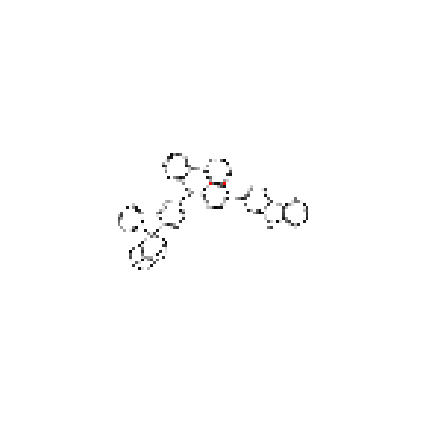 c1ccc(-c2ccccc2N(c2ccc(-c3ccc4c(c3)oc3ccccc34)cc2)c2ccc3c(c2)-c2ccccc2C32C3CC4CC(C3)CC2C4)cc1